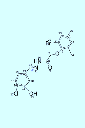 Cc1cc(C)c(OCC(=O)N/N=C/c2ccc(Cl)c(O)c2)c(Br)c1